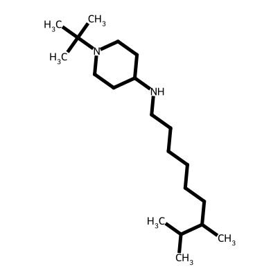 CC(C)C(C)CCCCCCNC1CCN(C(C)(C)C)CC1